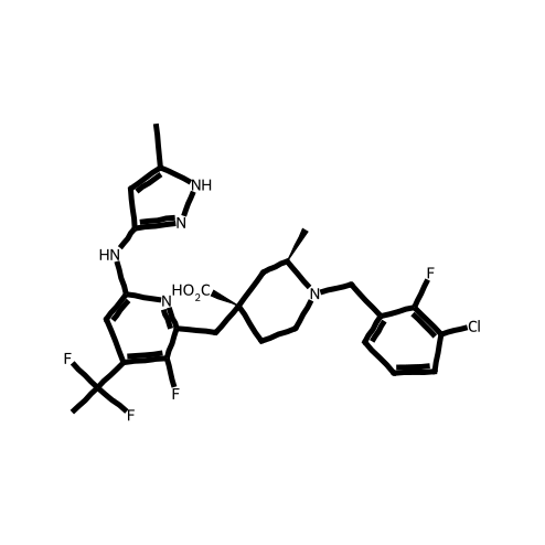 Cc1cc(Nc2cc(C(C)(F)F)c(F)c(C[C@@]3(C(=O)O)CCN(Cc4cccc(Cl)c4F)[C@H](C)C3)n2)n[nH]1